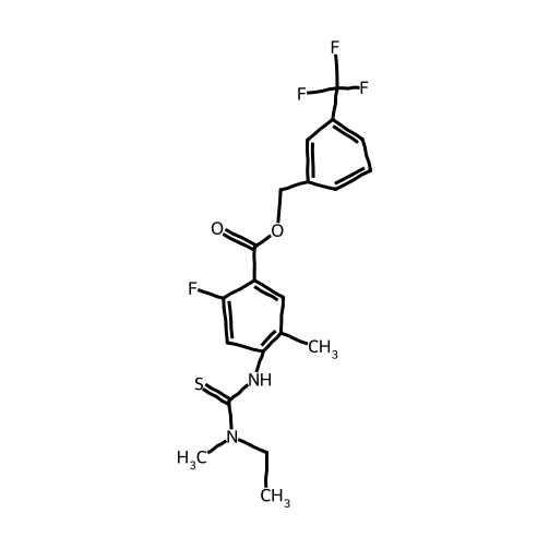 CCN(C)C(=S)Nc1cc(F)c(C(=O)OCc2cccc(C(F)(F)F)c2)cc1C